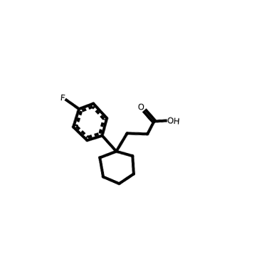 O=C(O)CCC1(c2ccc(F)cc2)CCCCC1